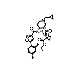 CCOC(=O)C1(NC(=O)[C@H]2CN(CC3CC3)CC[C@@H]2NC(=O)c2cc(-c3ccc(F)cc3F)on2)CC1